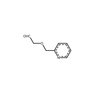 O=[C]COCc1ccccn1